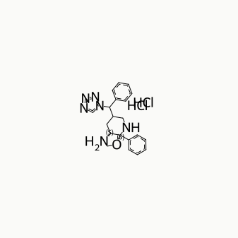 CO[C@]1(c2ccccc2)NCC(C(c2ccccc2)n2cnnn2)C[C@@H]1N.Cl.Cl